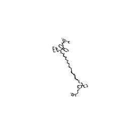 CCC(CCCCCCCCCCCCCCCCC(=O)OCCCC(C)C)C(=O)OCCCC(C)C